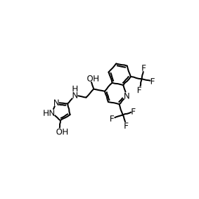 Oc1cc(NCC(O)c2cc(C(F)(F)F)nc3c(C(F)(F)F)cccc23)n[nH]1